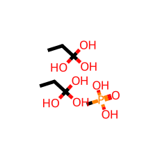 CCC(O)(O)O.CCC(O)(O)O.CP(=O)(O)O